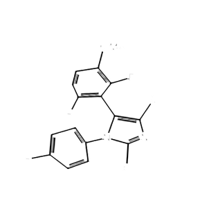 COc1ccc(F)c(-c2c(Cl)nc(Cl)n2-c2ccc(F)cc2)c1F